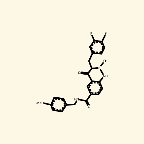 COc1ccc(CNC(=O)c2ccc3c(c2)C(=O)C(Cc2ccc(F)c(F)c2)[S+]([O-])N3)cc1